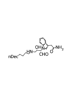 CCCCCCCCCCCCCCNC[C@H](O)[C@@H](C=O)n1cc(CC(N)=O)c2ccccc21